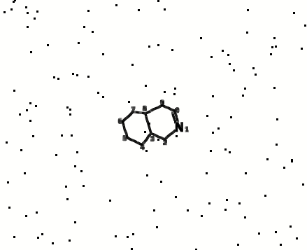 C1=NCC2CCCCC2C1